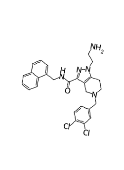 NCCn1nc(C(=O)NCc2cccc3ccccc23)c2c1CCN(Cc1ccc(Cl)c(Cl)c1)C2